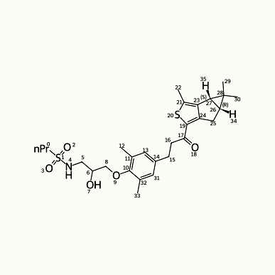 CCCS(=O)(=O)NCC(O)COc1c(C)cc(CCC(=O)c2sc(C)c3c2C[C@@H]2[C@H]3C2(C)C)cc1C